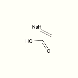 C=C.O=CO.[NaH]